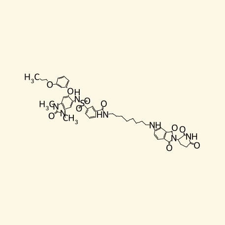 CCCOc1cccc(Oc2cc3c(cc2NS(=O)(=O)c2cccc(C(=O)NCCCCCCCCNc4ccc5c(c4)C(=O)N(C4CCC(=O)NC4=O)C5=O)c2)n(C)c(=O)n3C)c1